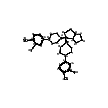 N#Cc1ccc(N2CCN(C3(N4CCN(c5ccc(C#N)c(F)c5)CC4)CCC4CCCC43)CC2)cc1F